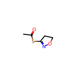 CC(=O)SC1=NOCC1